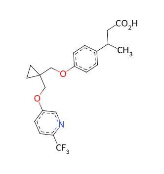 CC(CC(=O)O)c1ccc(OCC2(COc3ccc(C(F)(F)F)nc3)CC2)cc1